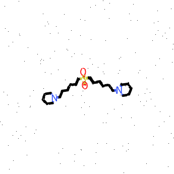 O=S(=O)(CCCCCCN1CCCCC1)CCCCCCN1CCCCC1